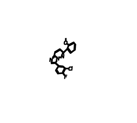 COc1ccccc1-c1ccc2ncc(-c3ccc(F)c(Cl)c3)n2n1